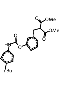 CCCCc1ccc(NC(=O)Oc2cccc(CC(C(=O)OC)C(=O)OC)c2)cc1